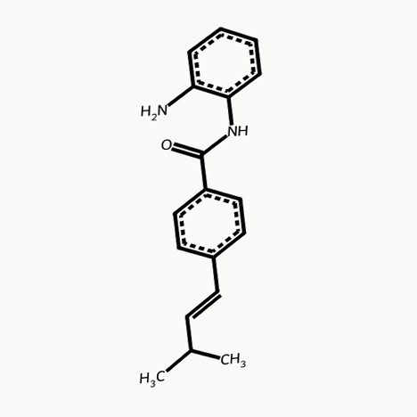 CC(C)/C=C/c1ccc(C(=O)Nc2ccccc2N)cc1